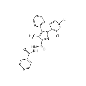 Cc1c(C(=O)NNC(=O)c2ccncc2)nn(-c2ccc(Cl)cc2Cl)c1-c1ccccc1